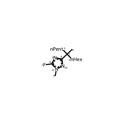 CCCCCCC(C)(CCCCC)c1nc(F)n(C)n1